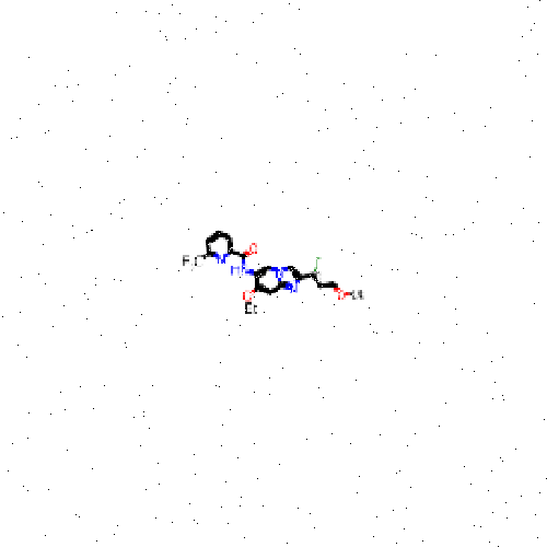 CCOCC[C@@H](F)c1cn2cc(NC(=O)c3cccc(C(F)(F)F)n3)c(OCC)cc2n1